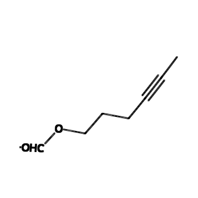 CC#CCCCO[C]=O